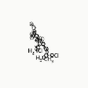 CC1(C)CCC(CN2CCN(c3ccc(C(=O)NS(=O)(=O)c4ccc(NCC5CCC6(CC5)COC6)c([N+](=O)[O-])c4)c(Oc4cnc(N)c(Cl)c4)c3)CC2)=C(c2ccc(Cl)cc2)C1